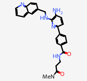 CNC(=O)CCNC(=O)c1ccc(-c2ccc(N)c(NCc3ccc4ncccc4c3)n2)cc1